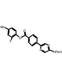 CCCCCc1cnc(-c2ccc(C(=O)Oc3ccc(CCCC)cc3F)cc2)cn1